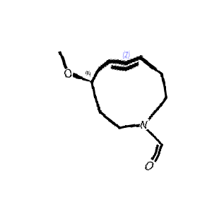 CO[C@H]1/C=C\CCN(C=O)CC1